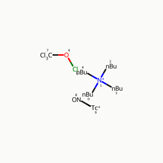 CCCC[N+](CCCC)(CCCC)CCCC.ClOC(Cl)(Cl)Cl.O=[N][Tc+]